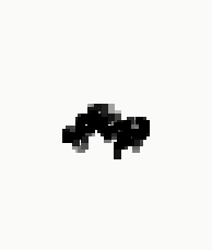 COC(=O)c1ccc(O)c(-c2cnc(N(C)C3(c4ncccc4F)CC(F)C3)nc2)c1